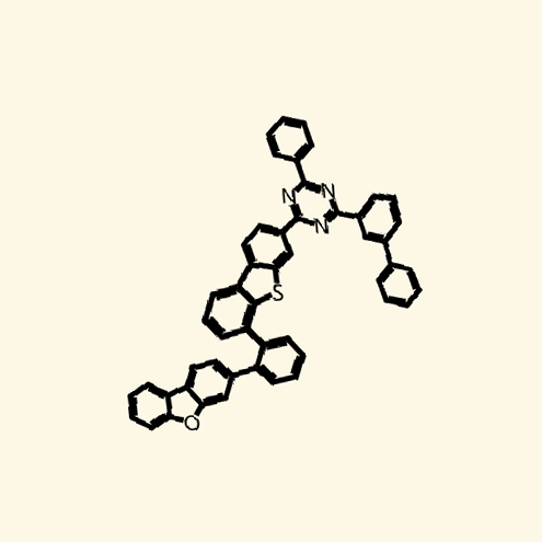 c1ccc(-c2cccc(-c3nc(-c4ccccc4)nc(-c4ccc5c(c4)sc4c(-c6ccccc6-c6ccc7c(c6)oc6ccccc67)cccc45)n3)c2)cc1